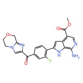 COC(=O)c1cnc(N)c2[nH]c(-c3ccc(C(=O)c4cn5c(n4)COCC5)cc3F)cc12